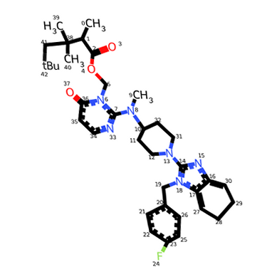 CC(C(=O)OCn1c(N(C)C2CCN(c3nc4c(n3Cc3ccc(F)cc3)=CCCC=4)CC2)nccc1=O)C(C)(C)CC(C)(C)C